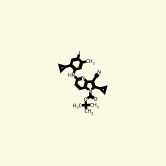 Cc1cc(Nc2ccc3c(n2)c(C#N)c(C2CC2)n3C(=O)OC(C)(C)C)c(C2CC2)cc1I